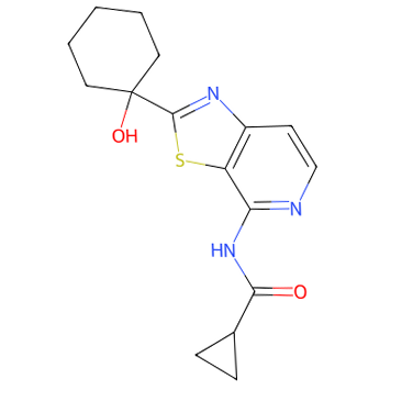 O=C(Nc1nccc2nc(C3(O)CCCCC3)sc12)C1CC1